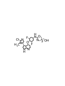 Cn1c(-c2c[nH]c3nccc(Oc4c(F)cc(NC5=NCC(F)(CO)CO5)cc4F)c23)cnc1Cl